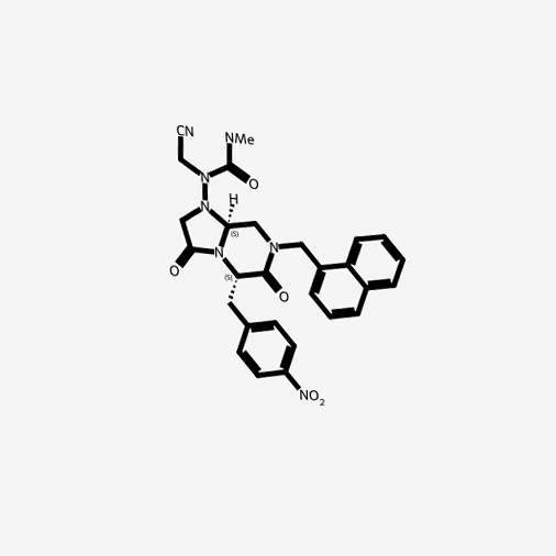 CNC(=O)N(CC#N)N1CC(=O)N2[C@@H](Cc3ccc([N+](=O)[O-])cc3)C(=O)N(Cc3cccc4ccccc34)C[C@@H]21